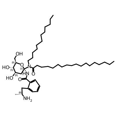 CCCCCCCCCCCCCCCCCC(=O)N(CCCCCCCCCCCC)[C@@]1(NC(=O)c2ccccc2C[C@@H](C)N)C[C@@H](O)[C@H](O)[C@@H](CO)O1